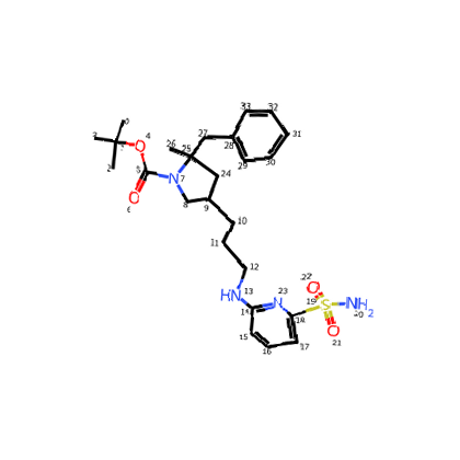 CC(C)(C)OC(=O)N1CC(CCCNc2cccc(S(N)(=O)=O)n2)CC1(C)Cc1ccccc1